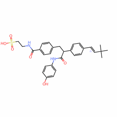 CC(C)(C)/C=C/c1ccc(C(Cc2ccc(C(=O)NCCS(=O)(=O)O)cc2)C(=O)Nc2ccc(O)cc2)cc1